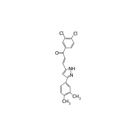 Cc1ccc(-c2cc(C=CC(=O)c3ccc(Cl)c(Cl)c3)[nH]n2)cc1C